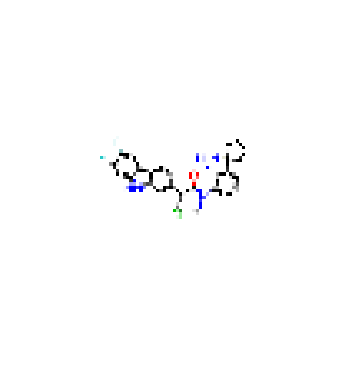 CC(C(=O)Nc1cccc(C2(N)CCCC2)c1)c1ccc2c(c1)[nH]c1cc(F)c(F)cc12.Cl